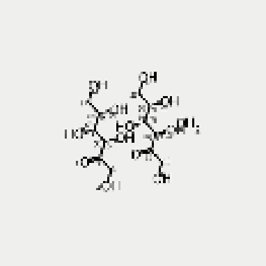 O.O=C(CO)[C@H](O)[C@@H](O)[C@H](O)CO.O=C(CO)[C@H](O)[C@@H](O)[C@H](O)CO